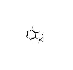 CCC1(C(=O)O)COc2c(Cl)cccc21